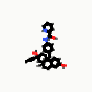 CC#C[C@@]1(O)CC[C@]2(Cc3ccc(NC(=O)c4ccccn4)cc3)c3ccc(O)cc3CC[C@H]2C1